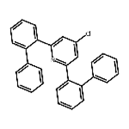 Clc1cc(-c2ccccc2-c2ccccc2)nc(-c2ccccc2-c2ccccc2)c1